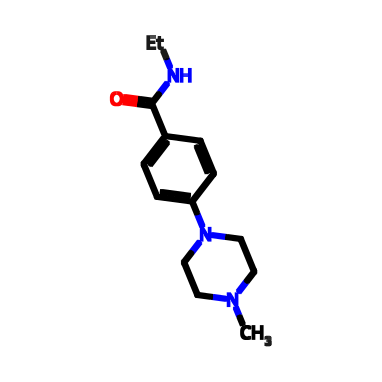 CCNC(=O)c1ccc(N2CCN(C)CC2)cc1